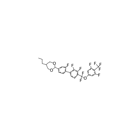 CCCC1COC(c2ccc(-c3ccc(C(F)(F)Oc4cc(F)c(C(F)(F)F)c(F)c4)c(F)c3F)c(F)c2)OC1